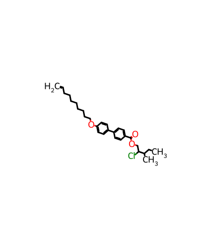 C=CCCCCCCCCOc1ccc(-c2ccc(C(=O)OCC(Cl)C(C)CC)cc2)cc1